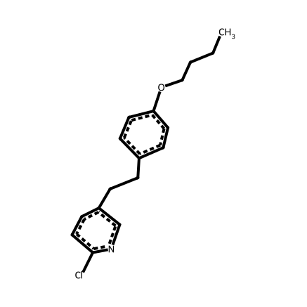 CCCCOc1ccc(CCc2ccc(Cl)nc2)cc1